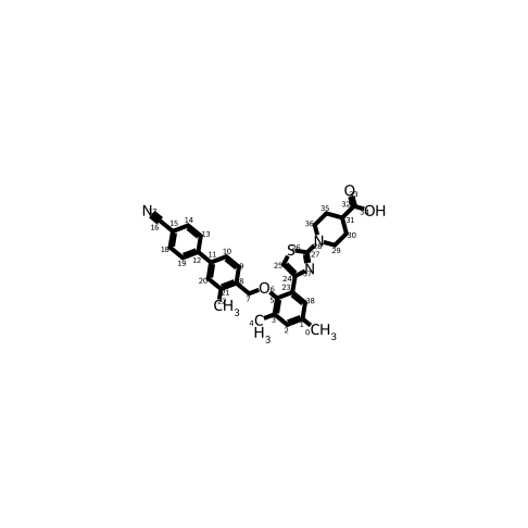 Cc1cc(C)c(OCc2ccc(-c3ccc(C#N)cc3)cc2C)c(-c2csc(N3CCC(C(=O)O)CC3)n2)c1